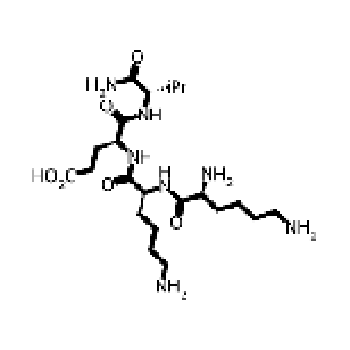 CC(C)[C@H](NC(=O)[C@H](CCC(=O)O)NC(=O)[C@H](CCCCN)NC(=O)[C@@H](N)CCCCN)C(N)=O